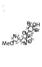 COc1cncc(-c2cnc3c(c2)N(C(=O)c2cc(Br)c(O)c(Br)c2)CCO3)c1